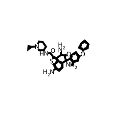 Cc1cc(Oc2ccccc2)ccc1C1(N)C(=O)C(N)c2c(C(=O)NC3CCCN(C4CC4)C3)sc3c(N)ccc1c23